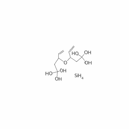 C=CC(CC(O)(O)O)OC(C=C)CC(O)(O)O.[SiH4]